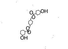 O=C(OCC1CCC(COC(=O)C2CCCC(O)C2)CC1)C1CCC(O)CC1